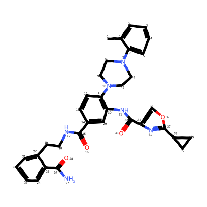 Cc1ccccc1N1CCN(c2ccc(C(=O)NCCc3ccccc3C(N)=O)cc2NC(=O)c2coc(C3CC3)n2)CC1